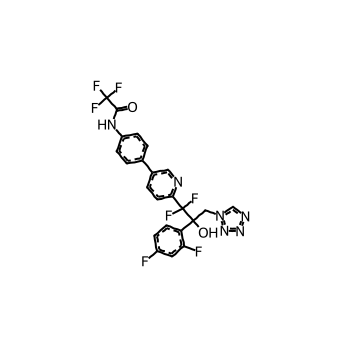 O=C(Nc1ccc(-c2ccc(C(F)(F)C(O)(Cn3cnnn3)c3ccc(F)cc3F)nc2)cc1)C(F)(F)F